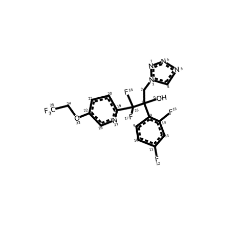 OC(Cn1cnnn1)(c1ccc(F)cc1F)C(F)(F)c1ccc(OCC(F)(F)F)cn1